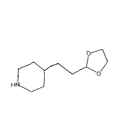 C1CC(CCC2OCCO2)CCN1